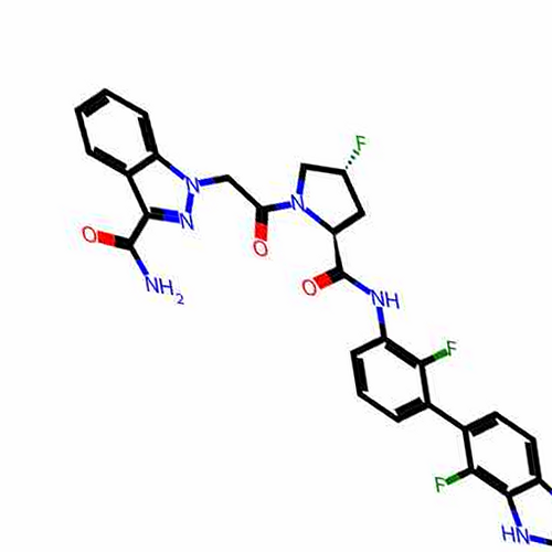 NC(=O)c1nn(CC(=O)N2C[C@H](F)C[C@H]2C(=O)Nc2cccc(-c3ccc4nc[nH]c4c3F)c2F)c2ccccc12